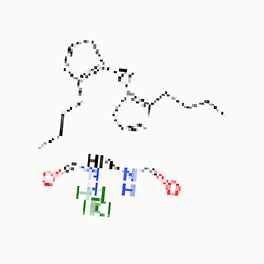 CCCCC1=[C]([Zr][C]2=C(CCCC)C=CC2)CC=C1.Cl.Cl.O=C[NH][InH][NH]C=O